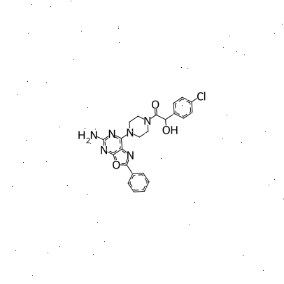 Nc1nc(N2CCN(C(=O)C(O)c3ccc(Cl)cc3)CC2)c2nc(-c3ccccc3)oc2n1